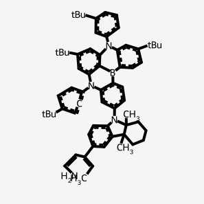 C/C=C(\C=C/N)c1ccc2c(c1)C1(C)CCCCC1(C)N2c1ccc2c(c1)N(c1ccc(C(C)(C)C)cc1)c1cc(C(C)(C)C)cc3c1B2c1ccc(C(C)(C)C)cc1N3c1cccc(C(C)(C)C)c1